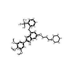 COc1cc(-c2nc3c(Cc4ccccc4C(F)(F)F)cc(OCCCN4CCCCC4)cc3[nH]2)cc(OC)c1OC